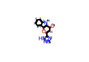 Cn1c2ccccc2c2oc(-c3nnn[nH]3)cc(=O)c21